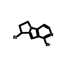 [CH2]CC1CCn2c1cc1c(C(C)C)nccc12